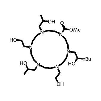 CCCCC(O)CN1CCN(CCO)CCN(CC(C)O)CCN(CCO)CCN(CC(C)O)CCN(C(=O)OC)CC1